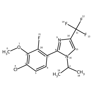 COc1c(Cl)ccc(-c2nc(C(F)(F)F)cn2C(C)C)c1F